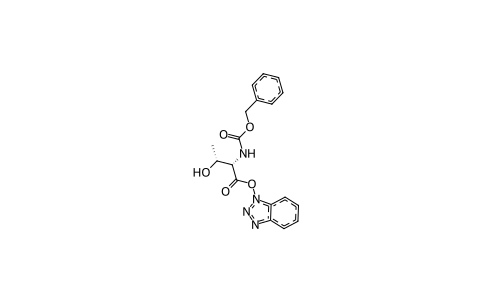 C[C@@H](O)[C@H](NC(=O)OCc1ccccc1)C(=O)On1nnc2ccccc21